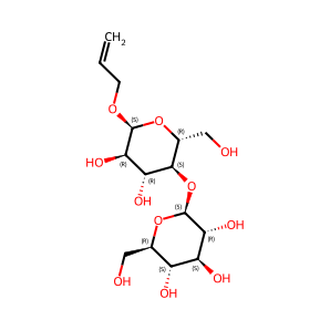 C=CCO[C@H]1O[C@H](CO)[C@@H](O[C@@H]2O[C@H](CO)[C@@H](O)[C@H](O)[C@H]2O)[C@H](O)[C@H]1O